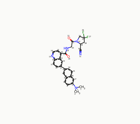 CN(C)c1ccc2cc(-c3ccc4nccc(C(=O)NCC(=O)N5CC(F)(F)CC5C#N)c4c3)ccc2c1